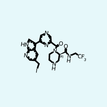 O=C(NCC(F)(F)F)[C@H]1CNCCN1C(=O)c1cncc(-c2c[nH]c3ncc(CI)cc23)n1